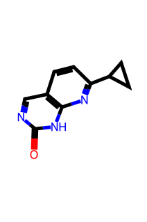 O=c1ncc2ccc(C3CC3)nc2[nH]1